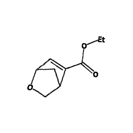 CCOC(=O)C1=CC2CC1CO2